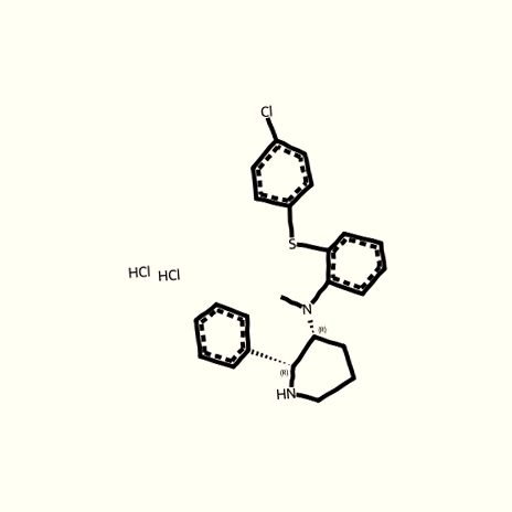 CN(c1ccccc1Sc1ccc(Cl)cc1)[C@@H]1CCCN[C@@H]1c1ccccc1.Cl.Cl